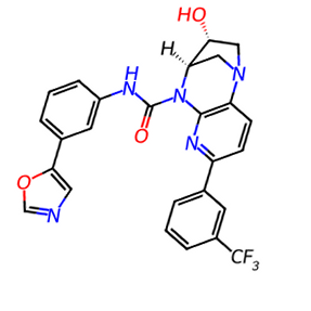 O=C(Nc1cccc(-c2cnco2)c1)N1c2nc(-c3cccc(C(F)(F)F)c3)ccc2N2C[C@@H](O)[C@H]1C2